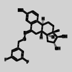 C[C@]12CC[C@@H]3c4ccc(O)cc4/C(=N/OCc4cc(F)cc(F)c4)C[C@H]3[C@@H]1C[C@@H](O)[C@@H]2O